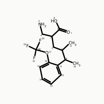 CC(CC(CN)C(=O)O)C(C)c1ccccc1OC(F)(F)F